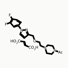 CC(=O)N1CCN(CCOCc2ccn(-c3ccc(F)c(F)c3)n2)CC1.O=C(O)C=CC(=O)O